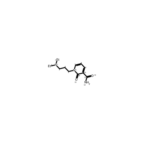 CCN(CC)CCCn1cccc(C(N)=O)c1=O